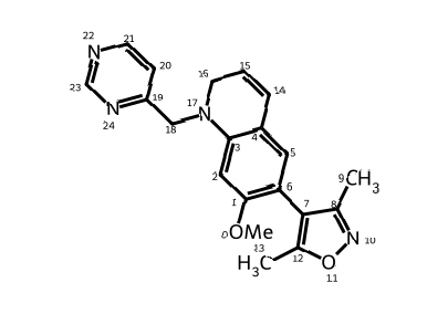 COc1cc2c(cc1-c1c(C)noc1C)C=CCN2Cc1ccncn1